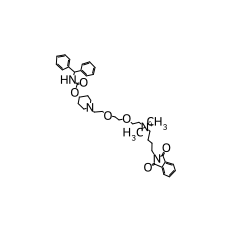 C[N+](C)(CCCCN1C(=O)c2ccccc2C1=O)CCOCCOCCN1CCC(OC(=O)NC(c2ccccc2)c2ccccc2)CC1